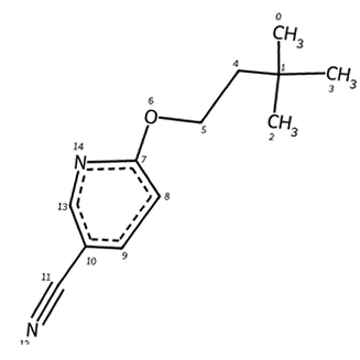 CC(C)(C)CCOc1ccc(C#N)cn1